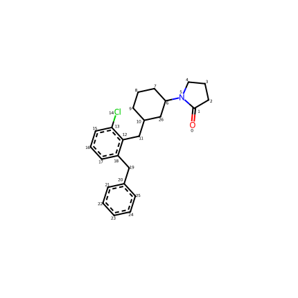 O=C1CCCN1C1CCCC(Cc2c(Cl)cccc2Cc2ccccc2)C1